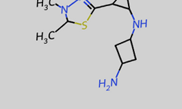 CC1SC(C2CC2NC2CC(N)C2)=NN1C